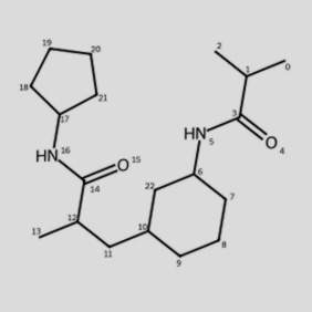 CC(C)C(=O)NC1CCCC(CC(C)C(=O)NC2CCCC2)C1